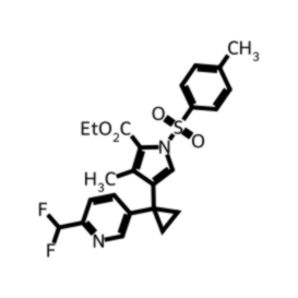 CCOC(=O)c1c(C)c(C2(c3ccc(C(F)F)nc3)CC2)cn1S(=O)(=O)c1ccc(C)cc1